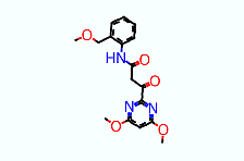 COCc1ccccc1NC(=O)CC(=O)c1nc(OC)cc(OC)n1